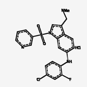 CNCc1cn(S(=O)(=O)c2cccnc2)c2cc(Nc3ccc(Cl)cc3F)ccc12.Cl